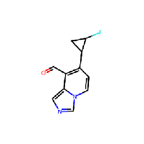 O=Cc1c(C2CC2F)ccn2cncc12